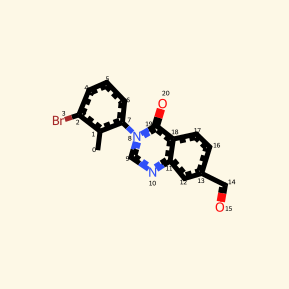 Cc1c(Br)cccc1-n1cnc2cc(C=O)ccc2c1=O